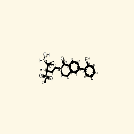 C[C@@](CCN1CCc2cc(-c3ccccc3F)ccc2C1=O)(C(=O)NO)S(C)(=O)=O